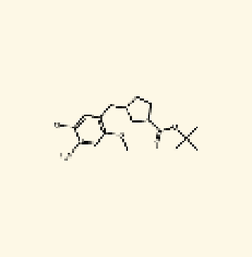 COc1cc(N)c(Cl)cc1CN1CCC(C(=O)OC(C)(C)C)C1